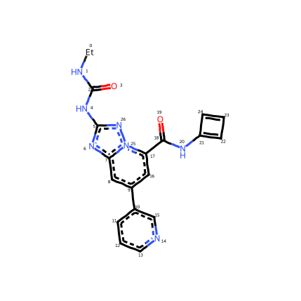 CCNC(=O)Nc1nc2cc(-c3cccnc3)cc(C(=O)NC3=CC=C3)n2n1